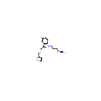 Cc1cc(CNC(=O)c2nn(CCCCC#N)c3ccc(Cl)cc23)no1